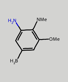 Bc1cc(N)c(NC)c(OC)c1